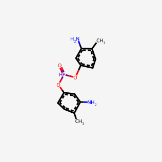 Cc1ccc(O[PH](=O)Oc2ccc(C)c(N)c2)cc1N